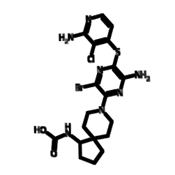 Nc1nc(N2CCC3(CCCC3NC(=O)O)CC2)c(Br)nc1Sc1ccnc(N)c1Cl